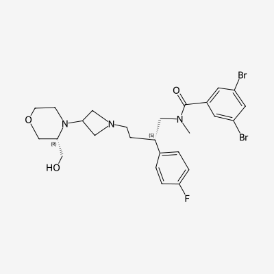 CN(C[C@@H](CCN1CC(N2CCOC[C@H]2CO)C1)c1ccc(F)cc1)C(=O)c1cc(Br)cc(Br)c1